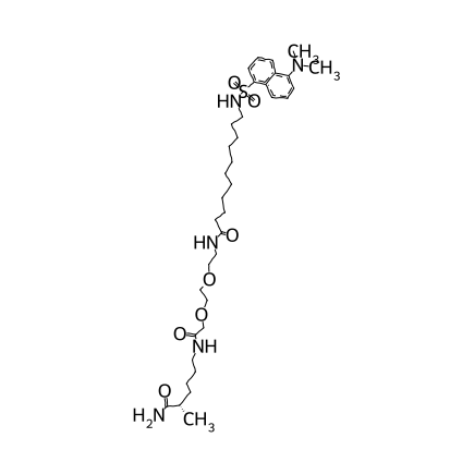 C[C@@H](CCCCNC(=O)COCCOCCNC(=O)CCCCCCCCCCNS(=O)(=O)c1cccc2c(N(C)C)cccc12)C(N)=O